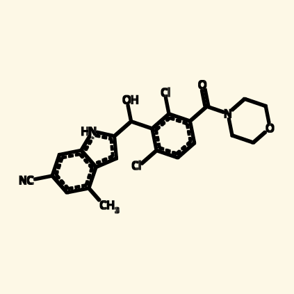 Cc1cc(C#N)cc2[nH]c(C(O)c3c(Cl)ccc(C(=O)N4CCOCC4)c3Cl)cc12